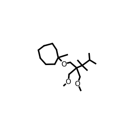 COCC(COC)(COC1(C)CCCCCCC1)C(C)(C)C(C)C